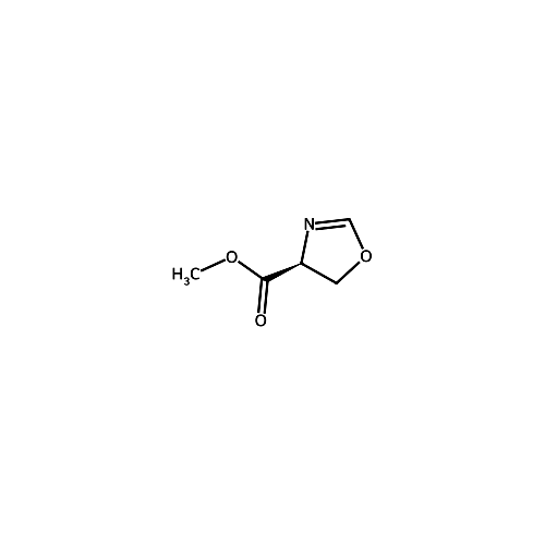 COC(=O)[C@@H]1COC=N1